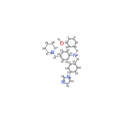 COc1cccc(CN(Cc2ccc(-n3ccnc3)cc2)c2ccc(CN3CCCCC3)cc2)c1